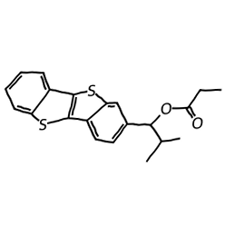 CCC(=O)OC(c1ccc2c(c1)sc1c3ccccc3sc21)C(C)C